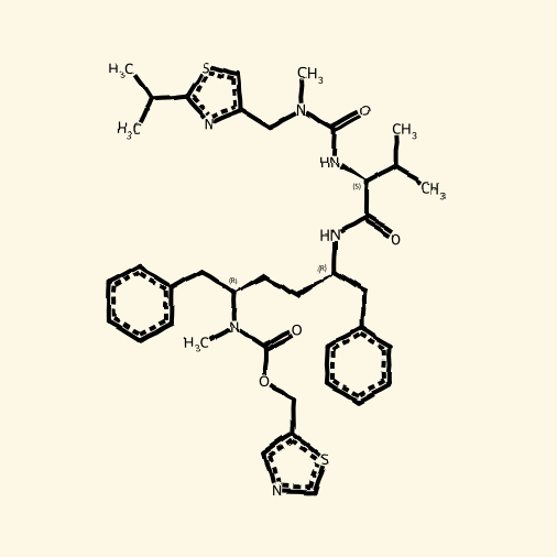 CC(C)c1nc(CN(C)C(=O)N[C@H](C(=O)N[C@H](CC[C@H](Cc2ccccc2)N(C)C(=O)OCc2cncs2)Cc2ccccc2)C(C)C)cs1